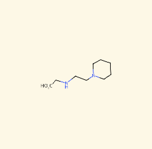 O=C(O)CNCCN1CCCCC1